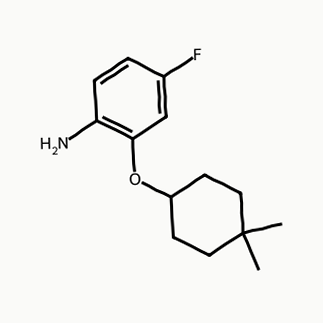 CC1(C)CCC(Oc2cc(F)ccc2N)CC1